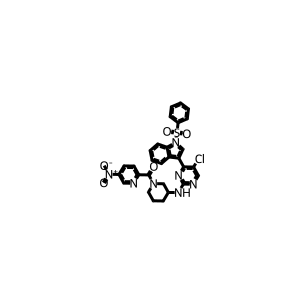 O=C(c1ccc([N+](=O)[O-])cn1)N1CCCC(Nc2ncc(Cl)c(-c3cn(S(=O)(=O)c4ccccc4)c4ccccc34)n2)C1